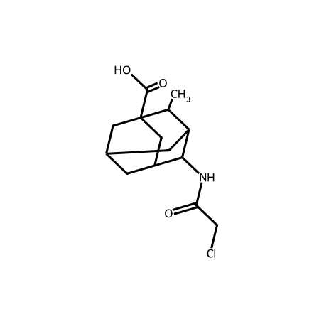 CC1C2CC3CC(CC1(C(=O)O)C3)C2NC(=O)CCl